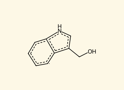 OCc1c[nH]c2ccc[c]c12